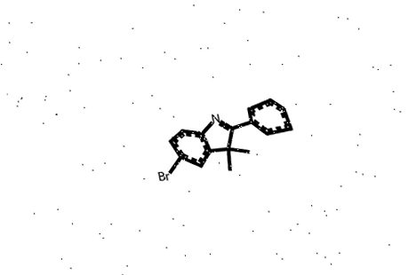 CC1(C)C(c2ccccc2)=Nc2ccc(Br)cc21